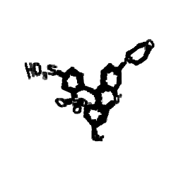 O=S(=O)([O-])c1cc(S(=O)(=O)O)ccc1-c1c2ccc(Br)cc2[o+]c2cc(N3CCOCC3)ccc12